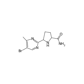 Cc1nc(C2CCC(C(N)=O)N2)ncc1Br